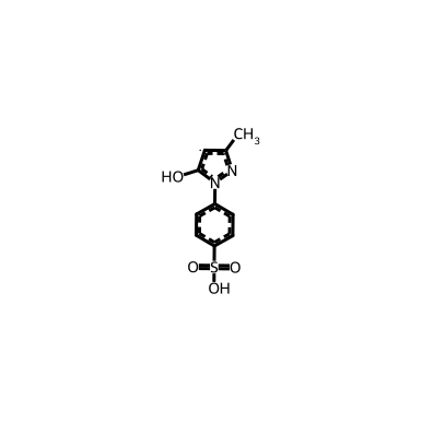 Cc1[c]c(O)n(-c2ccc(S(=O)(=O)O)cc2)n1